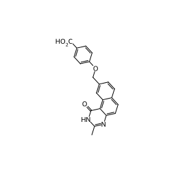 Cc1nc2ccc3ccc(COc4ccc(C(=O)O)cc4)cc3c2c(=O)[nH]1